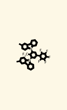 Cc1ccc2c(c1)c1ccccc1n2-c1cc(-c2c(F)c(F)c(F)c(F)c2F)cc(-n2c3ccccc3c3cc(C)ccc32)c1C(F)(F)F